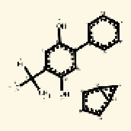 CCC(C)(C)c1cc(O)c(-c2ccccc2)cc1O.c1cc2cc-2c1